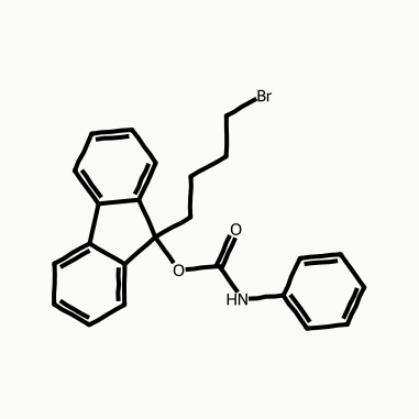 O=C(Nc1ccccc1)OC1(CCCCBr)c2ccccc2-c2ccccc21